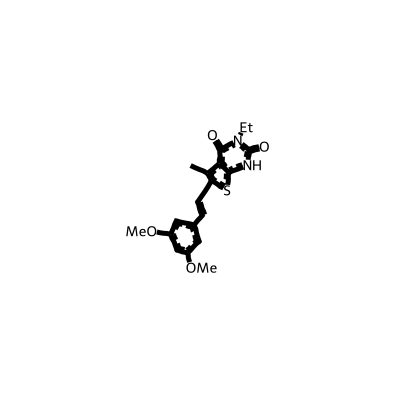 CCn1c(=O)[nH]c2sc(/C=C/c3cc(OC)cc(OC)c3)c(C)c2c1=O